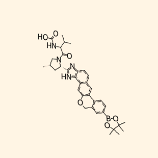 CC(C)C(NC(=O)O)C(=O)N1C[C@@H](C)C[C@H]1c1nc2ccc3cc4c(cc3c2[nH]1)OCc1cc(B2OC(C)(C)C(C)(C)O2)ccc1-4